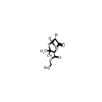 CC(=O)OCOC(=O)[C@@H]1N2C(=O)[C@@H](Br)[C@H]2SC1(C)C